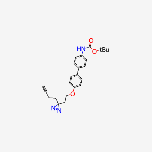 C#CCCC1(CCOc2ccc(-c3ccc(NC(=O)OC(C)(C)C)cc3)cc2)N=N1